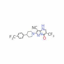 N#Cc1c(N2CCC(c3ccc(C(F)(F)F)cc3)CC2)nn2c(=O)c(C(F)(F)F)c[nH]c12